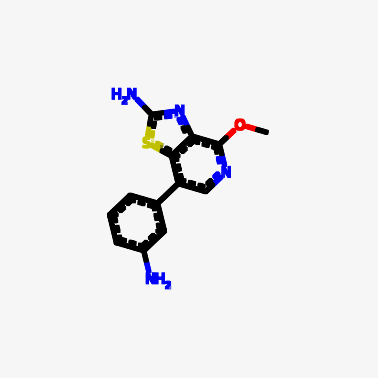 COc1ncc(-c2cccc(N)c2)c2sc(N)nc12